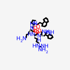 N=C(N)NCCCC[C@H](NC(=O)[C@H](CCCCN)NC(=O)[C@@H]1CCCN1C(=O)Cc1cccc2ccccc12)C(=O)N[C@@H](Cc1c[nH]c2ccccc12)C(N)=O